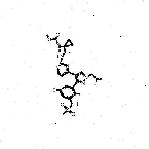 COC(=O)NC1(CNc2nccc(-c3cn(CC(C)C)nc3-c3cc(Cl)cc(NS(C)(=O)=O)c3F)n2)CC1